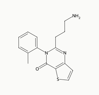 Cc1ccccc1-n1c(CCCN)nc2ccsc2c1=O